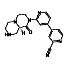 N#Cc1cc(-c2ccnc(N3CCN4CCNC[C@@H]4C3=O)c2)ccn1